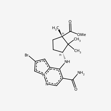 COC(=O)[C@@]1(C)CC[C@@H](Nc2c(C(N)=O)cnn3cc(Br)cc23)C1(C)C